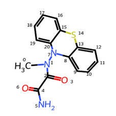 CN(C(=O)C(N)=O)N1c2ccccc2Sc2ccccc21